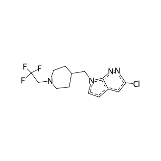 FC(F)(F)CN1CCC(Cn2ccc3cc(Cl)nnc32)CC1